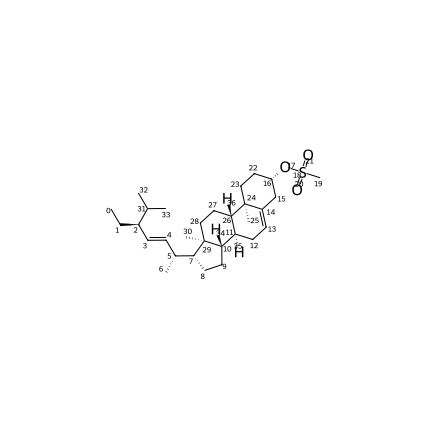 CC[C@H](/C=C/[C@@H](C)[C@H]1CC[C@H]2[C@@H]3CC=C4C[C@@H](OS(C)(=O)=O)CC[C@]4(C)[C@H]3CC[C@]12C)C(C)C